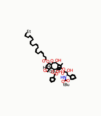 CC/C=C\C/C=C\C/C=C\C/C=C\C/C=C\C/C=C\CCC(=O)O[C@H]1C[C@H]2OC[C@@]2(OC(C)=O)[C@H]2[C@H](OC(=O)c3ccccc3)[C@]3(O)CC(OC(=O)C(O)[C@@H](NC(=O)OC(C)(C)C)c4ccccc4)C(C)=C([C@@H](O)C(=O)[C@]12C)C3(C)C